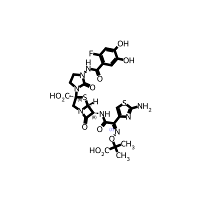 CC(C)(O/N=C(\C(=O)N[C@@H]1C(=O)N2C[C@@](C(=O)O)(N3CCN(NC(=O)c4cc(O)c(O)cc4F)C3=O)S[C@H]12)c1csc(N)n1)C(=O)O